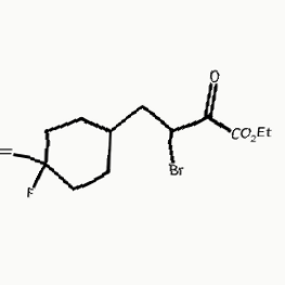 CCOC(=O)C(=O)C(Br)CC1CCC(F)(F)CC1